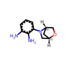 Nc1cccc(N2C[C@@H]3C[C@H]2CO3)c1N